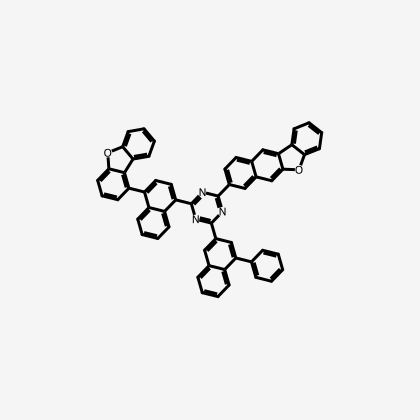 c1ccc(-c2cc(-c3nc(-c4ccc5cc6c(cc5c4)oc4ccccc46)nc(-c4ccc(-c5cccc6oc7ccccc7c56)c5ccccc45)n3)cc3ccccc23)cc1